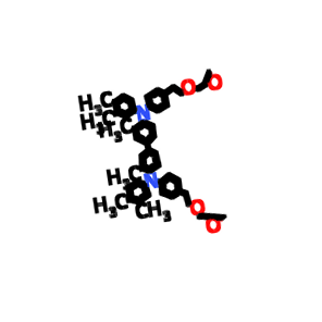 Cc1ccc(N(c2ccc(CCOCC3CO3)cc2)c2ccc(-c3ccc(N(c4ccc(CCOCC5CO5)cc4)c4ccc(C)c(C)c4)c(C)c3)cc2C)cc1C